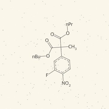 CCCCOC(=O)C(C)(C(=O)OCCC)c1ccc([N+](=O)[O-])c(F)c1